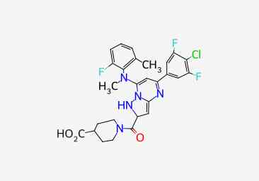 Cc1cccc(F)c1N(C)C1=CC(c2cc(F)c(Cl)c(F)c2)=NC2=CC(C(=O)N3CCC(C(=O)O)CC3)NN21